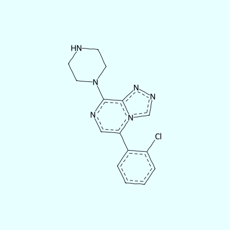 Clc1ccccc1-c1cnc(N2CCNCC2)c2nncn12